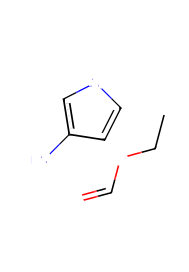 CCOC=O.Nc1cc[nH]c1